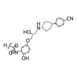 CS(=O)(=O)Nc1cc(OC[C@@H](O)CN[C@H]2CC[C@H](c3ccc(C#N)cc3)CC2)ccc1O